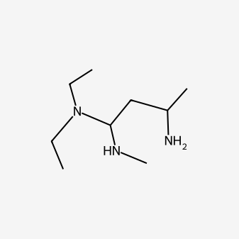 CCN(CC)C(CC(C)N)NC